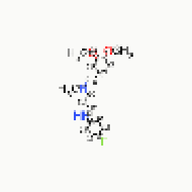 COc1ccc(CCN(C)CCCNc2ccc(F)cc2)cc1OC